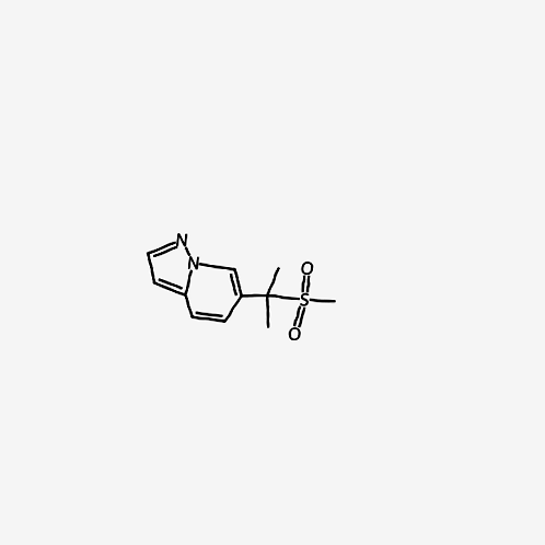 CC(C)(c1ccc2ccnn2c1)S(C)(=O)=O